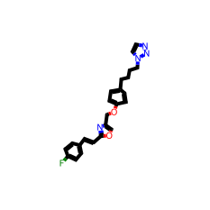 Fc1ccc(/C=C/c2nc(COc3ccc(CCCCn4ccnn4)cc3)co2)cc1